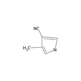 CC1=C[N]C=C1C#N